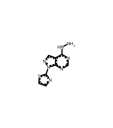 NNc1ncnc2c1cnn2-c1nccs1